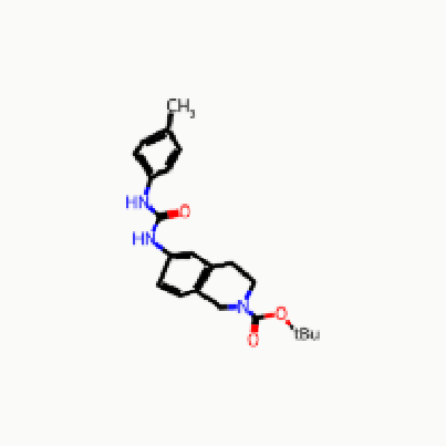 Cc1ccc(NC(=O)Nc2ccc3c(c2)CCN(C(=O)OC(C)(C)C)C3)cc1